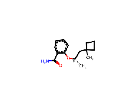 C[C@@H](CC1(C)CCC1)Oc1ccccc1C(N)=O